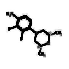 C[C@@H]1CN(c2ccc(N)c(F)c2F)C[C@H](C)O1